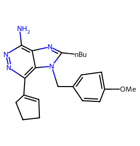 CCCCc1nc2c(N)nnc(C3=CCCC3)c2n1Cc1ccc(OC)cc1